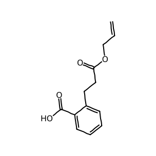 C=CCOC(=O)CCc1ccccc1C(=O)O